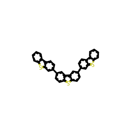 c1ccc2c(c1)sc1cc(-c3ccc4sc5ccc(-c6ccc7c(c6)sc6ccccc67)cc5c4c3)ccc12